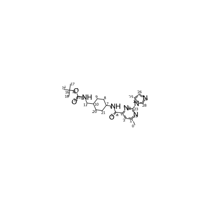 Cc1cc(C(=O)NC2CCC(CNC(=O)OC(C)(C)C)CC2)nc(-n2ccnc2)n1